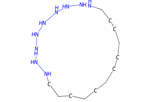 C1CCCCCCNNNNNNNNNCCCCC1